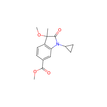 COC(=O)c1ccc2c(c1)N(C1CC1)C(=O)C2(C)OC